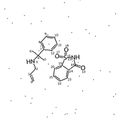 C=CCNC(C)(C)c1ccccc1.O=C1NS(=O)(=O)c2ccccc21